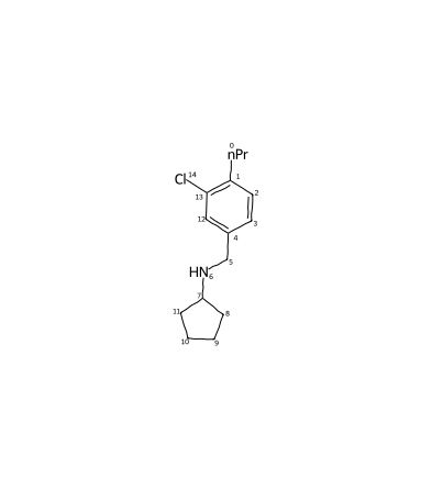 CCCc1ccc(CNC2CCCC2)cc1Cl